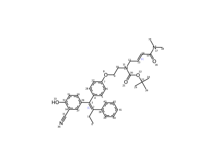 CC/C(=C(/c1ccc(OCCN(C/C=C/C(=O)N(C)C)C(=O)OC(C)(C)C)cc1)c1ccc(O)c(C#N)c1)c1ccccc1